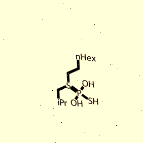 CCCCCCCCS(CC(C)C)=P(O)(O)S